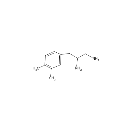 Cc1ccc(CC(N)CN)cc1C